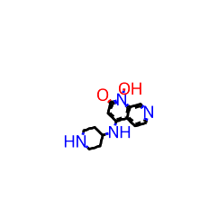 O=c1cc(NC2CCNCC2)c2ccncc2n1O